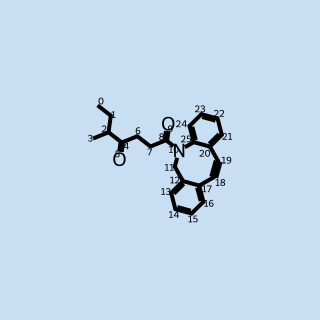 CCC(C)C(=O)CCC(=O)N1Cc2ccccc2C#Cc2ccccc21